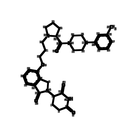 O=C1CCC(N2Cc3c(OCCCN4CCC[C@H]4C(=O)N4CCN(c5cccc(C(F)(F)F)c5)CC4)cccc3C2=O)C(=O)N1